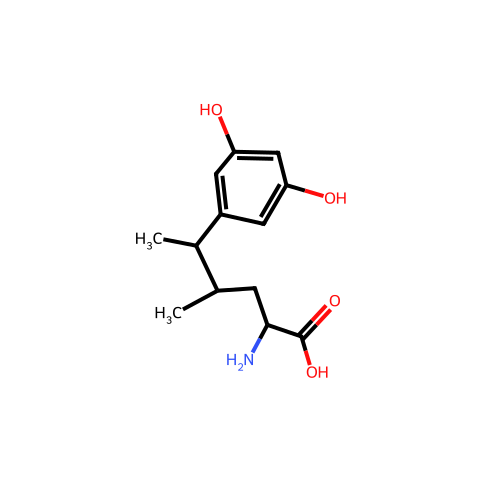 CC(CC(N)C(=O)O)C(C)c1cc(O)cc(O)c1